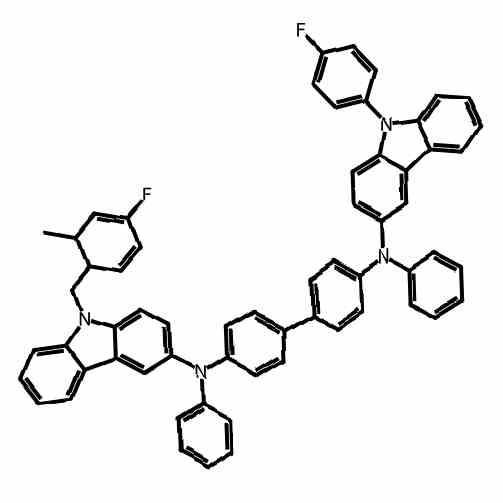 CC1C=C(F)C=CC1Cn1c2ccccc2c2cc(N(c3ccccc3)c3ccc(-c4ccc(N(c5ccccc5)c5ccc6c(c5)c5ccccc5n6-c5ccc(F)cc5)cc4)cc3)ccc21